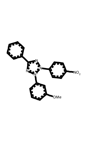 COc1cccc(-[n+]2nc(-c3ccccc3)nn2-c2ccc([N+](=O)[O-])cc2)c1